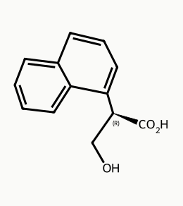 O=C(O)[C@@H](CO)c1cccc2ccccc12